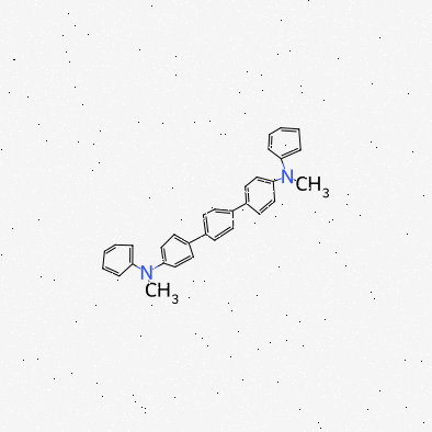 CN(c1ccccc1)c1ccc(-c2ccc(-c3ccc(N(C)c4ccccc4)cc3)cc2)cc1